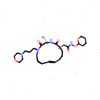 CC(C)[C@@H]1NC(=O)[C@@H](CC(=O)NOC2CCCCO2)CCC/C=C/CCCN(CCCN2CCOCC2)C1=O